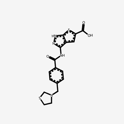 O=C(Nc1n[nH]c2sc(C(=O)O)cc12)c1ccc(CN2CCSC2)cc1